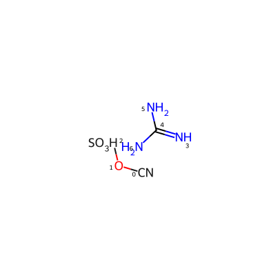 N#COS(=O)(=O)O.N=C(N)N